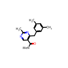 CNC(=O)c1cnc(C)nc1Cc1cc(C)cc(C)c1